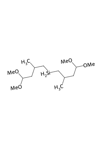 COC(CC(C)C[SiH2]CC(C)CC(OC)OC)OC